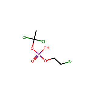 CC(Cl)(Cl)OP(=O)(O)OCCBr